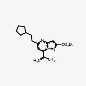 C=C(C)c1cc(CCC2CCCC2)nc2cc(C(=O)OCC)nn12